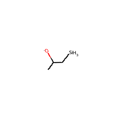 CC([O])C[SiH3]